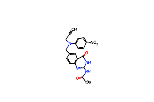 C#CCN(Cc1ccc2nc(NC(=O)C(C)(C)C)[nH]c(=O)c2c1)c1ccc([N+](=O)[O-])cc1